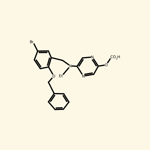 CCN(Cc1cc(Br)ccc1OCc1ccccc1)c1cnc(OC(=O)O)cn1